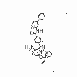 C=CC(=O)N1CCC[C@H]1c1nc(-c2ccc(C(=O)Nc3cc(-c4ccccc4)ccn3)cc2)c2c(N)nccn12